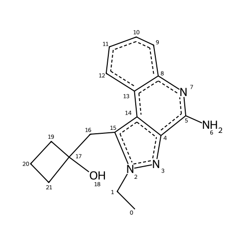 CCn1nc2c(N)nc3ccccc3c2c1CC1(O)CCC1